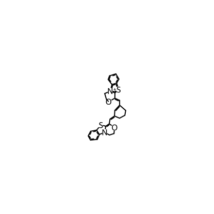 C1=C(C=C2OCC[n+]3c2sc2ccccc23)CCC/C1=C\C1=C2Sc3ccccc3N2CCO1